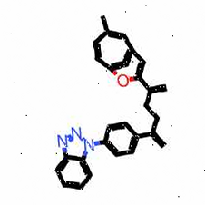 C=C(CCC(=C)c1ccc(-n2nnc3ccccc32)cc1)C1=CC2=C=C(C=CC(C)=C2)O1